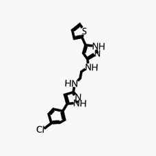 Clc1ccc(-c2cc(NCCNc3cc(-c4cccs4)[nH]n3)n[nH]2)cc1